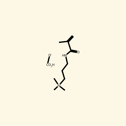 C=C(C)C(=O)NCCC[N+](C)(C)C.O=C([O-])O